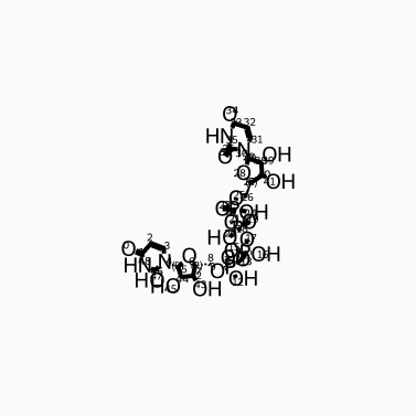 O=C1C=CN([C@@H]2O[C@H](COP(=O)(O)OP(=O)(O)OP(=O)(O)OP(=O)(O)OC[C@H]3O[C@@H](n4ccc(=O)[nH]c4=O)C(O)C3O)C(O)C2O)C(O)N1